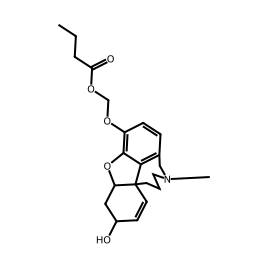 CCCC(=O)OCOc1ccc2c3c1OC1CC(O)C=CC31CCCN(C)C2